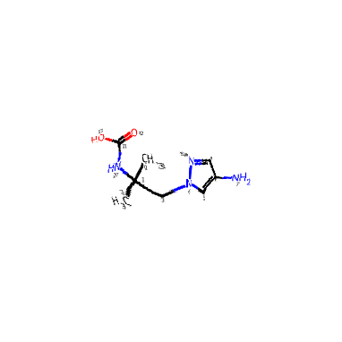 CC(C)(Cn1cc(N)cn1)NC(=O)O